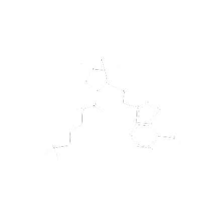 Nc1ncnc2c1ncn2CC(=O)N1[C@@H]2C[C@@H]2C[C@H]1C(=O)NCCOC(F)(F)F